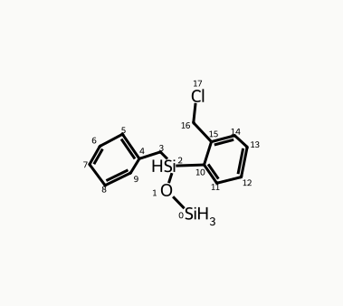 [SiH3]O[SiH](Cc1ccccc1)c1ccccc1CCl